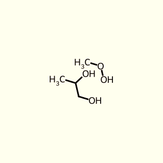 CC(O)CO.COO